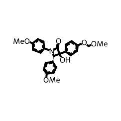 COCOc1ccc(C2(O)C(=O)N(c3ccc(OC)cc3)[C@H]2c2ccc(OC)cc2)cc1